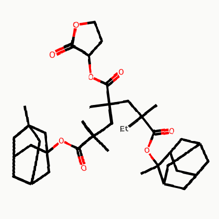 CCC(C)(CC(C)(CC(C)(C)C(=O)OC12CC3CC(CC(C)(C3)C1)C2)C(=O)OC1CCOC1=O)C(=O)OC1(C)C2CC3CC(C2)CC1C3